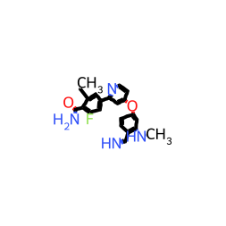 CCc1cc(-c2cc(Oc3ccc(C=N)c(NC)c3)ccn2)cc(F)c1C(N)=O